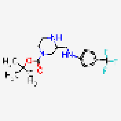 CC(C)(C)OC(=O)N1CCNC(CNc2ccc(C(F)(F)F)cc2)C1